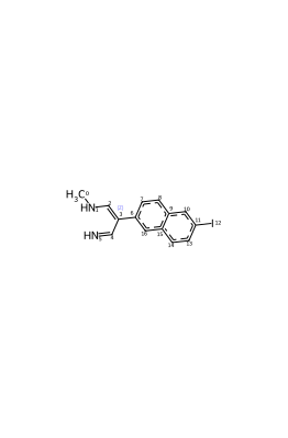 CN/C=C(\C=N)c1ccc2cc(I)ccc2c1